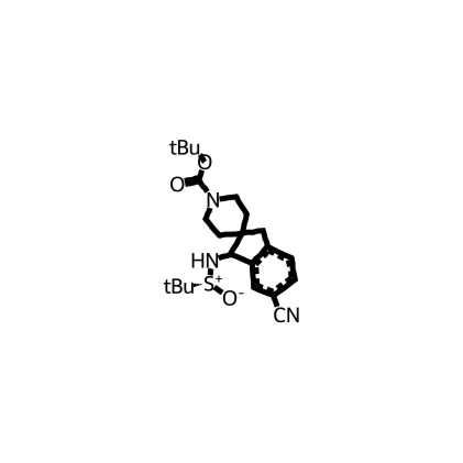 CC(C)(C)OC(=O)N1CCC2(CC1)Cc1ccc(C#N)cc1C2N[S@+]([O-])C(C)(C)C